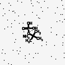 CC(C)(C)OP(=O)(O)O.N